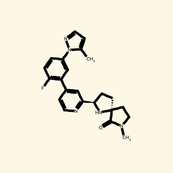 Cc1ccnn1-c1ccc(F)c(-c2ccnc([C@H]3CC[C@@]4(CCN(C)C4=O)N3)c2)c1